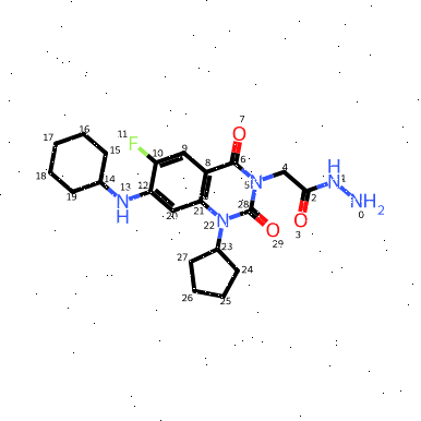 NNC(=O)Cn1c(=O)c2cc(F)c(NC3CCCCC3)cc2n(C2CCCC2)c1=O